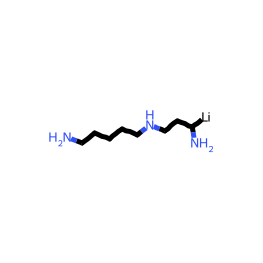 [Li][CH](N)CCNCCCCCN